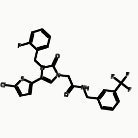 O=C(Cn1cc(-c2ccc(Cl)s2)n(Cc2ccccc2F)c1=O)NCc1cccc(C(F)(F)F)c1